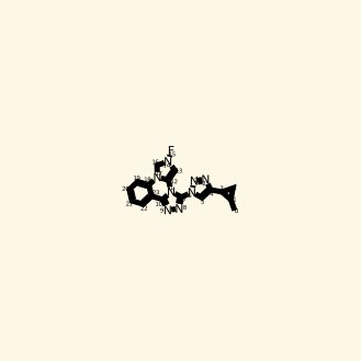 CC1CC1c1cn(-c2nnc3n2C2=CN(F)CN2c2ccccc2-3)nn1